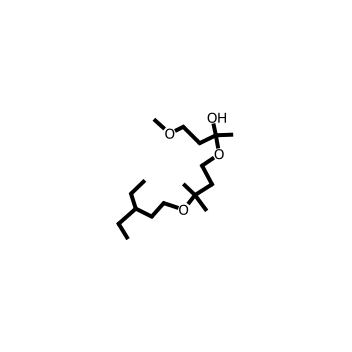 CCC(CC)CCOC(C)(C)CCOC(C)(O)CCOC